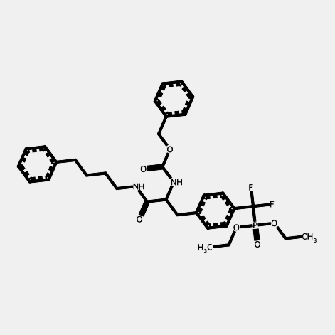 CCOP(=O)(OCC)C(F)(F)c1ccc(CC(NC(=O)OCc2ccccc2)C(=O)NCCCCc2ccccc2)cc1